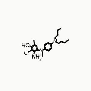 CCCCN(CCCC)c1ccc(Nc2cc(C)c(O)c(Cl)c2N)cc1